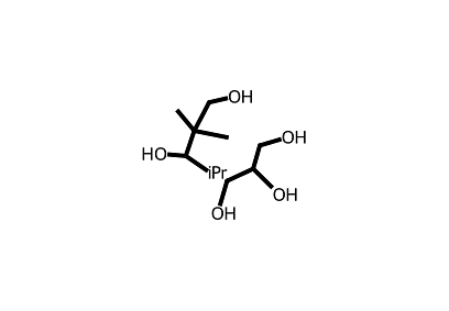 CC(C)C(O)C(C)(C)CO.OCC(O)CO